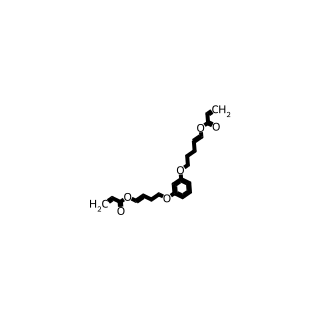 C=CC(=O)O/C=C/CCCOc1cccc(OCC/C=C/OC(=O)C=C)c1